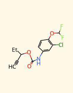 C#CC(CC)OC(=O)Nc1ccc(OC(F)F)c(Cl)c1